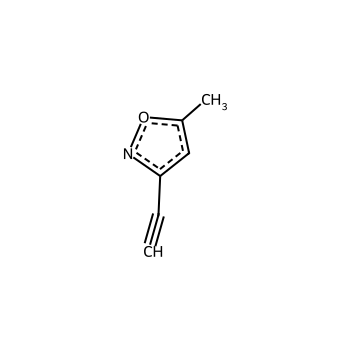 C#Cc1cc(C)on1